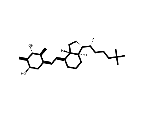 C=C1/C(=C\C=C2/CCC[C@]3(C)[C@@H]([C@H](C)CCCC(C)(C)C)CC[C@@H]23)C[C@@H](O)C(=C)[C@@H]1O